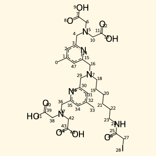 Cc1cc(CN(CC(=O)O)CC(=O)O)nc(CN(CCCCCCNC(=O)CI)Cc2cc(C)cc(CN(CC(=O)O)CC(=O)O)n2)c1